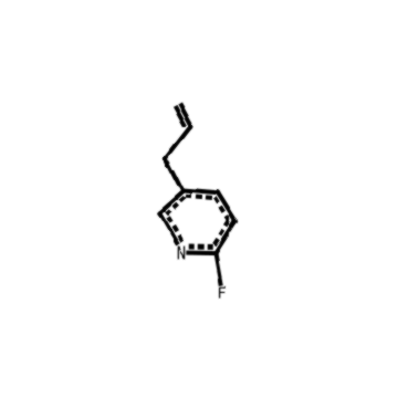 C=CCc1ccc(F)nc1